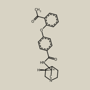 CC(=O)c1ccccc1Oc1ccc(C(=O)N[C@H]2CN3CCC2CC3)cc1